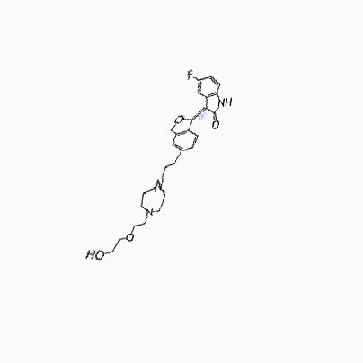 O=C1Nc2ccc(F)cc2/C1=C1\OCc2cc(CCN3CCN(CCOCCO)CC3)ccc21